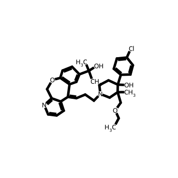 CCOCC1(C)CN(CC/C=C2\c3cc(C(C)(C)O)ccc3OCc3ncccc32)CCC1(O)c1ccc(Cl)cc1